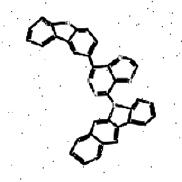 c1ccc2cc3c(cc2c1)c1ccccc1n3-c1nnc(-c2ccc3oc4ccccc4c3c2)c2nccnc12